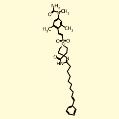 Cc1cc(N(C)C(N)=O)cc(C)c1C=CS(=O)(=O)N1CCC2(CC1)N=C(CCCCCCCC=Cc1ccccc1)NC2=O